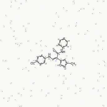 Cc1cc(/C(=C/Nc2ccc(Cl)cc2)C(=O)Nc2ccccn2)on1